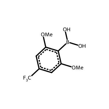 COc1cc(C(F)(F)F)cc(OC)c1B(O)O